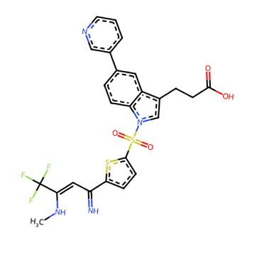 CN/C(=C\C(=N)c1ccc(S(=O)(=O)n2cc(CCC(=O)O)c3cc(-c4cccnc4)ccc32)s1)C(F)(F)F